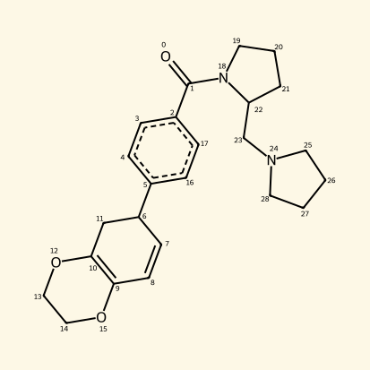 O=C(c1ccc(C2C=CC3=C(C2)OCCO3)cc1)N1CCCC1CN1CCCC1